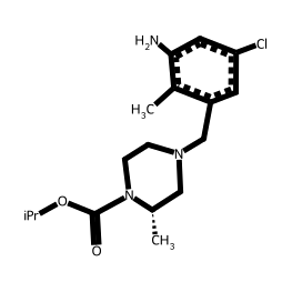 Cc1c(N)cc(Cl)cc1CN1CCN(C(=O)OC(C)C)[C@@H](C)C1